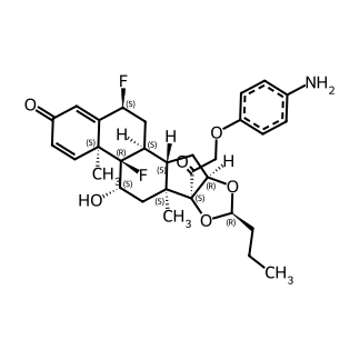 CCC[C@@H]1O[C@@H]2C[C@H]3[C@@H]4C[C@H](F)C5=CC(=O)C=C[C@]5(C)[C@@]4(F)[C@@H](O)C[C@]3(C)[C@]2(C(=O)COc2ccc(N)cc2)O1